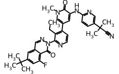 CCc1c(-c2cc(Nc3ccc(C(C)(C)C#N)cn3)c(=O)n(C)c2)ccnc1-n1ncc2cc(C(C)(C)C)cc(F)c2c1=O